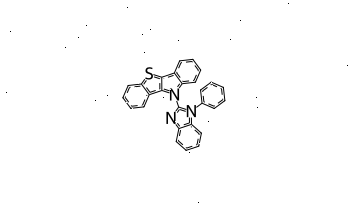 c1ccc(-n2c(-n3c4ccccc4c4sc5ccccc5c43)nc3ccccc32)cc1